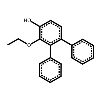 CCOc1c(O)ccc(-c2ccccc2)c1-c1ccccc1